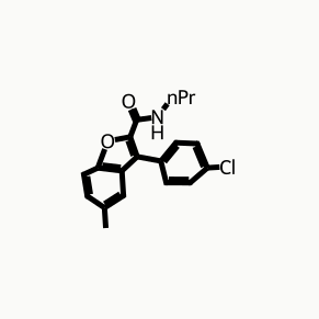 CCCNC(=O)c1oc2ccc(C)cc2c1-c1ccc(Cl)cc1